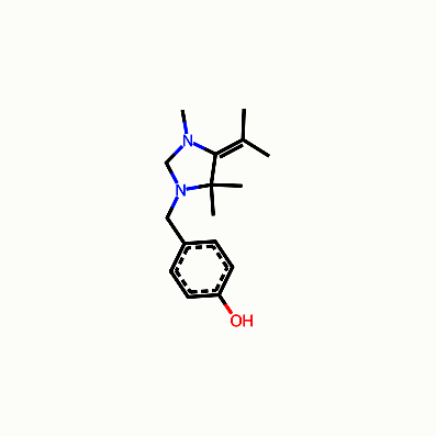 CC(C)=C1N(C)CN(Cc2ccc(O)cc2)C1(C)C